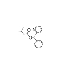 CC(C)CC(=O)OC(c1ccccc1)c1ccccn1